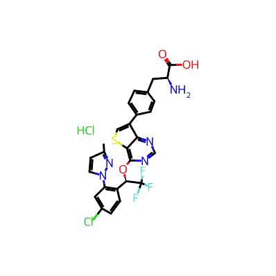 Cc1ccn(-c2cc(Cl)ccc2[C@@H](Oc2ncnc3c(-c4ccc(C[C@H](N)C(=O)O)cc4)csc23)C(F)(F)F)n1.Cl